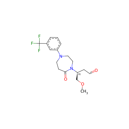 COC[C@H](CC=O)N1CCN(c2cccc(C(F)(F)F)c2)CCC1=O